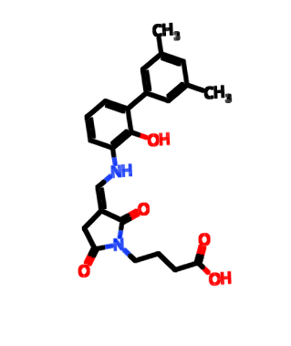 Cc1cc(C)cc(-c2cccc(N/C=C3/CC(=O)N(CCCC(=O)O)C3=O)c2O)c1